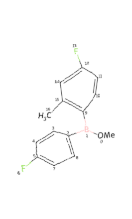 COB(c1ccc(F)cc1)c1ccc(F)cc1C